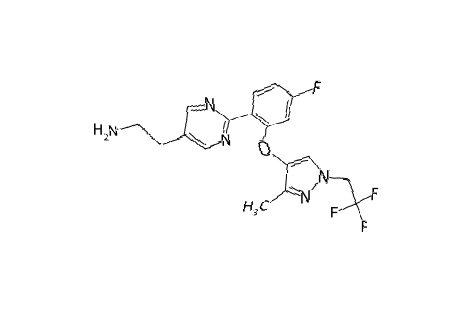 Cc1nn(CC(F)(F)F)cc1Oc1cc(F)ccc1-c1ncc(CCN)cn1